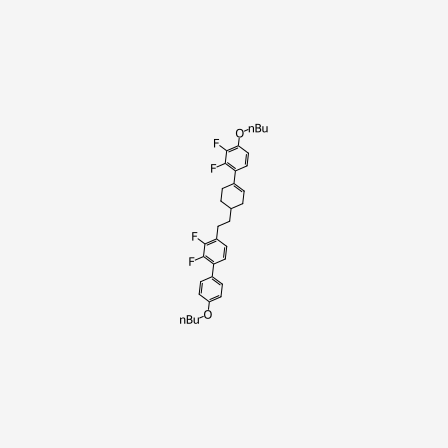 CCCCOc1ccc(-c2ccc(CCC3CC=C(c4ccc(OCCCC)c(F)c4F)CC3)c(F)c2F)cc1